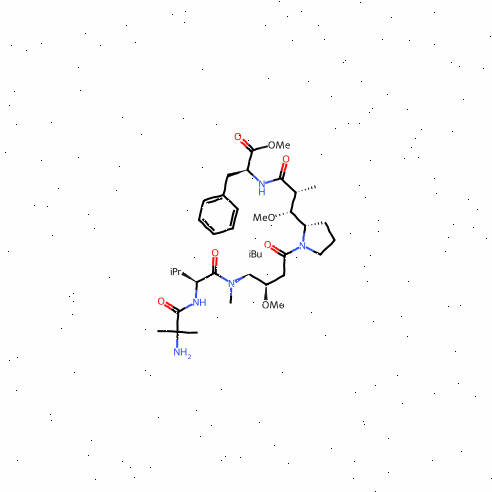 CC[C@H](C)[C@@H]([C@@H](CC(=O)N1CCC[C@H]1[C@H](OC)[C@@H](C)C(=O)N[C@@H](Cc1ccccc1)C(=O)OC)OC)N(C)C(=O)[C@@H](NC(=O)C(C)(C)N)C(C)C